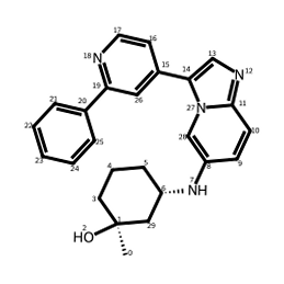 C[C@]1(O)CCC[C@H](Nc2ccc3ncc(-c4ccnc(-c5ccccc5)c4)n3c2)C1